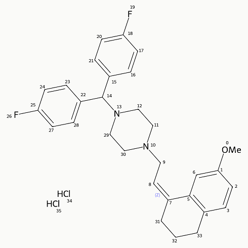 COc1ccc2c(c1)/C(=C\CN1CCN(C(c3ccc(F)cc3)c3ccc(F)cc3)CC1)CCC2.Cl.Cl